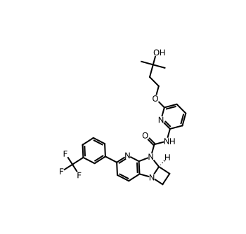 CC(C)(O)CCOc1cccc(NC(=O)N2c3nc(-c4cccc(C(F)(F)F)c4)ccc3N3CC[C@@H]32)n1